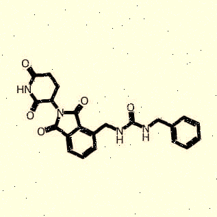 O=C1CCC(N2C(=O)c3cccc(CNC(=O)NCc4ccccc4)c3C2=O)C(=O)N1